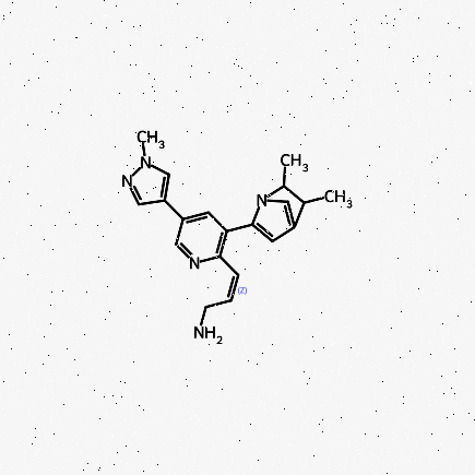 CC1c2cc(-c3cc(-c4cnn(C)c4)cnc3/C=C\CN)n(c2)C1C